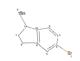 CC(C)(C)C1CCc2cc(Br)ccc21